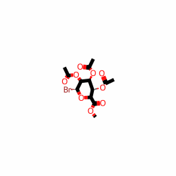 COC(=O)C1O[C@H](Br)C(OC(C)=O)[C@@H](OC(C)=O)[C@@H]1OC(C)=O